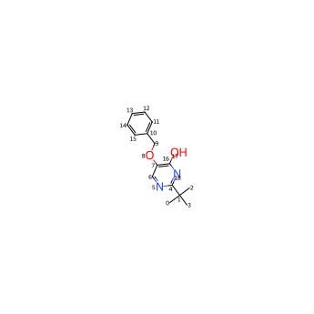 CC(C)(C)c1ncc(OCc2ccccc2)c(O)n1